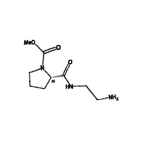 COC(=O)N1CCC[C@H]1C(=O)NCCN